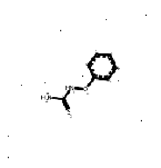 NC(=S)NOc1ccccc1